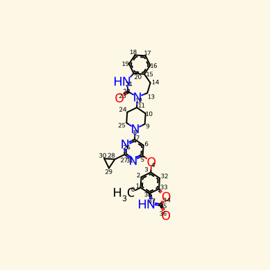 Cc1cc(Oc2cc(N3CCC(N4CCc5ccccc5NC4=O)CC3)nc(C3CC3)n2)cc2oc(=O)[nH]c12